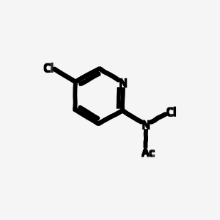 CC(=O)N(Cl)c1ccc(Cl)cn1